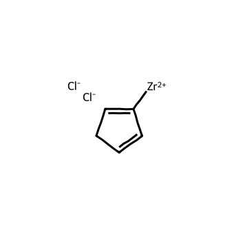 [Cl-].[Cl-].[Zr+2][C]1=CCC=C1